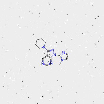 Cn1ccnc1-n1nc(N2CCCCC2)c2cncnc21